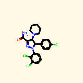 NC(=O)C1=NN(c2cccc(Cl)c2Cl)C(c2ccc(Cl)cc2)C1N1CCCCC1